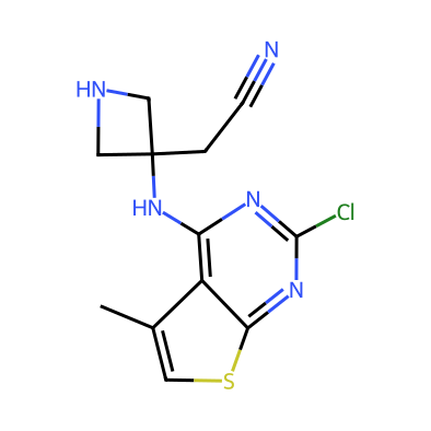 Cc1csc2nc(Cl)nc(NC3(CC#N)CNC3)c12